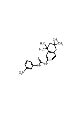 CC1(C)CC(C)(C)c2cc(NC(=S)Nc3cccc([N+](=O)[O-])c3)ccc2S1